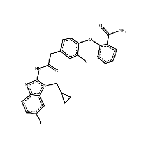 NC(=O)c1cccnc1Oc1ccc(CC(=O)Nc2nc3ccc(F)cc3n2CC2CC2)cc1Cl